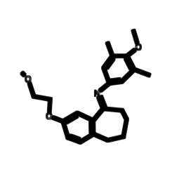 COCCOc1ccc2c(c1)/C(=N/c1cc(C)c(OC)c(C)c1)CCCC2